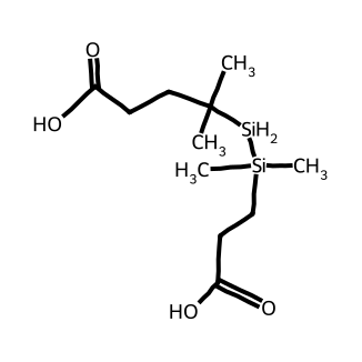 CC(C)(CCC(=O)O)[SiH2][Si](C)(C)CCC(=O)O